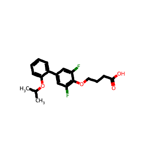 CC(C)Oc1ccccc1-c1cc(F)c(OCCCC(=O)O)c(F)c1